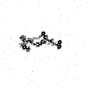 COCOc1ccccc1-c1cc2c(nn1)N(CNC(=O)CNC(=O)OCC1c3ccccc3-c3ccccc31)C[C@H]1CN(CC3CCN(CCOc4cc([C@H](C(=O)N5C[C@H](O[Si](C)(C)C(C)(C)C)C[C@H]5C(=O)N[C@@H](C)c5ccc(-c6scnc6C)cc5)C(C)C)on4)CC3)CCN21